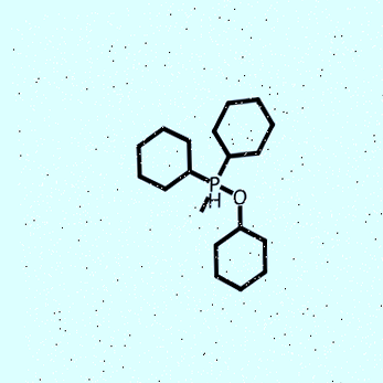 C[PH](OC1CCCCC1)(C1CCCCC1)C1CCCCC1